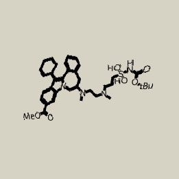 COC(=O)c1ccc2c(C3CCCCC3)c3n(c2c1)CC(N(C)CCN(C)CCCS(O)(O)NC(=O)OC(C)(C)C)Cc1ccccc1-3